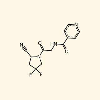 N#CC1CC(F)(F)CN1C(=O)CNC(=O)c1ccncc1